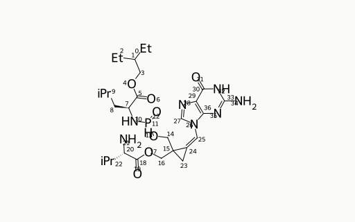 CCC(CC)COC(=O)[C@H](CC(C)C)N[PH](=O)OCC1(COC(=O)[C@@H](N)C(C)C)C/C1=C/n1cnc2c(=O)[nH]c(N)nc21